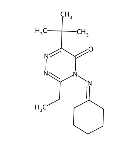 CCc1nnc(C(C)(C)C)c(=O)n1N=C1CCCCC1